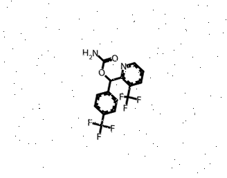 NC(=O)OC(c1ccc(C(F)(F)F)cc1)c1ncccc1C(F)(F)F